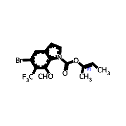 C/C=C(\C)OC(=O)n1ccc2cc(Br)c(C(F)(F)F)c(C=O)c21